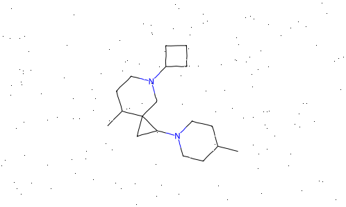 CC1CCN(C2CC23CN(C2CCC2)CCC3C)CC1